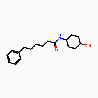 O=C(CCCCCc1ccccc1)NC1CCC(O)CC1